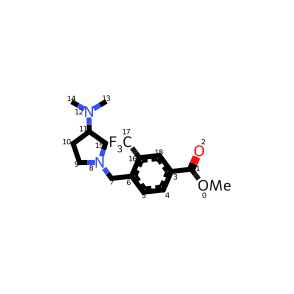 COC(=O)c1ccc(CN2CCC(N(C)C)C2)c(C(F)(F)F)c1